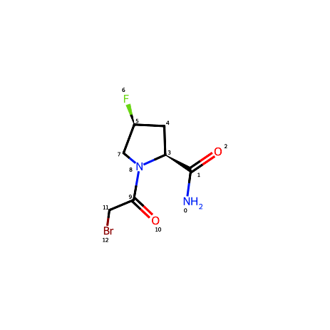 NC(=O)[C@@H]1C[C@H](F)CN1C(=O)CBr